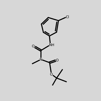 CN(C(=O)Nc1cccc(Cl)c1)C(=O)OC(C)(C)C